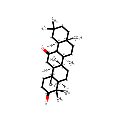 CC1(C)CC[C@]2(C(=O)O)CC[C@]3(C)C(C(=O)C[C@@H]4[C@@]5(C)CCC(=O)C(C)(C)[C@@H]5CC[C@]43C)[C@H]2C1